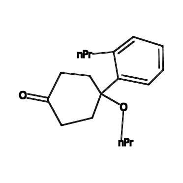 CCCOC1(c2ccccc2CCC)CCC(=O)CC1